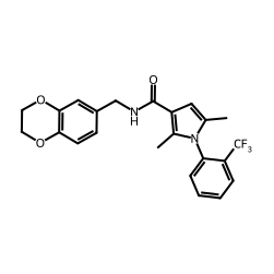 Cc1cc(C(=O)NCc2ccc3c(c2)OCCO3)c(C)n1-c1ccccc1C(F)(F)F